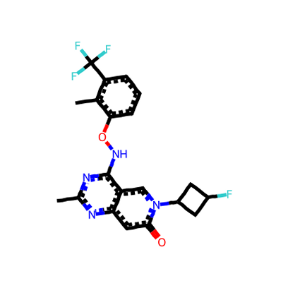 Cc1nc(NOc2cccc(C(F)(F)F)c2C)c2cn(C3CC(F)C3)c(=O)cc2n1